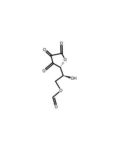 O=COC[C@H](O)[C@H]1OC(=O)C(=O)C1=O